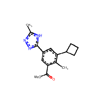 COC(=O)c1cc(-c2nnc(C)[nH]2)cc(C2CCC2)c1C